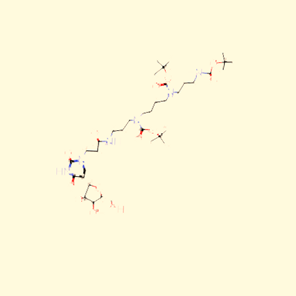 CC(C)(C)OC(=O)NCCCN(CCCCN(CCCNC(=O)CCn1cc([C@@H]2O[C@H](CO)C(O)[C@@H]2O)c(=O)[nH]c1=O)C(=O)OC(C)(C)C)C(=O)OC(C)(C)C